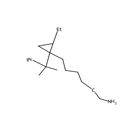 CCC1CC1(CCCCCCN)C(C)(C)C(C)C